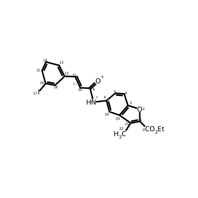 CCOC(=O)c1oc2ccc(NC(=O)/C=C/c3cccc(I)c3)cc2c1C